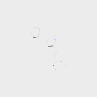 C(=C\C1CCCNC1)/c1cncc(Oc2ccccc2)c1